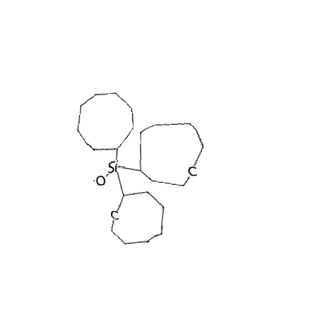 [O][Si](C1CCCCCCC1)(C1CCCCCCC1)C1CCCCCCC1